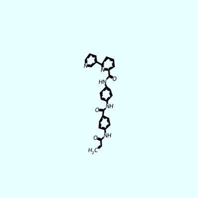 C=CC(=O)Nc1ccc(C(=O)Nc2ccc(NC(=O)c3cccc(-c4cccnc4)n3)cc2)cc1